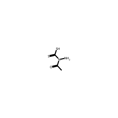 CC(=O)N(N)C(=S)S